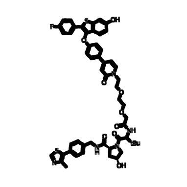 Cc1ncsc1-c1ccc(CNC(=O)[C@@H]2C[C@@H](O)CN2C(=O)C(NC(=O)COCCOCCn2ccc(-c3ccc(Oc4c(-c5ccc(F)cc5)sc5cc(O)ccc45)cc3)cc2=O)C(C)(C)C)cc1